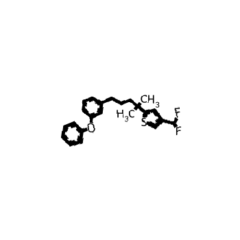 CC(C)(CCCc1cccc(Oc2ccccc2)c1)c1cc(C(F)F)cs1